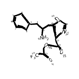 NC(Cc1ccccc1)c1ocnc1C(=O)OC(=O)C(F)(F)F